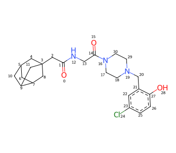 O=C(CC12CC3CC(C1)C(C3)C2)NCC(=O)N1CCN(Cc2cc(Cl)ccc2O)CC1